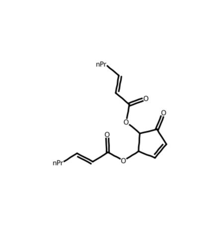 CCCC=CC(=O)OC1C=CC(=O)C1OC(=O)C=CCCC